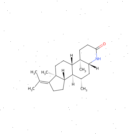 CC(C)=C1CC[C@H]2[C@@H]3[C@@H](C)C[C@H]4NC(=O)CC[C@]4(C)[C@H]3CC[C@]12C